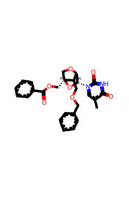 Cc1cn([C@@H]2O[C@@]3(COC(=O)c4ccccc4)COC2C3COCc2ccccc2)c(=O)[nH]c1=O